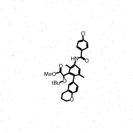 COC(=O)C(OC(C)(C)C)c1c(C)c(NC(=O)c2ccc(Cl)cc2)cc(C)c1-c1ccc2c(c1)CCCO2